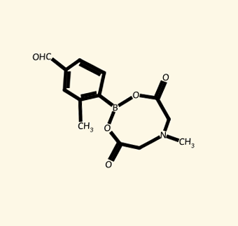 Cc1cc(C=O)ccc1B1OC(=O)CN(C)CC(=O)O1